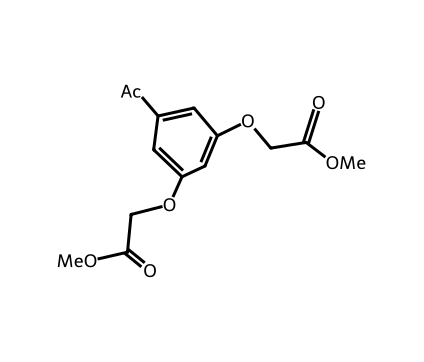 COC(=O)COc1cc(OCC(=O)OC)cc(C(C)=O)c1